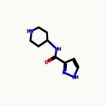 O=C(NC1CCNCC1)c1cc[nH]n1